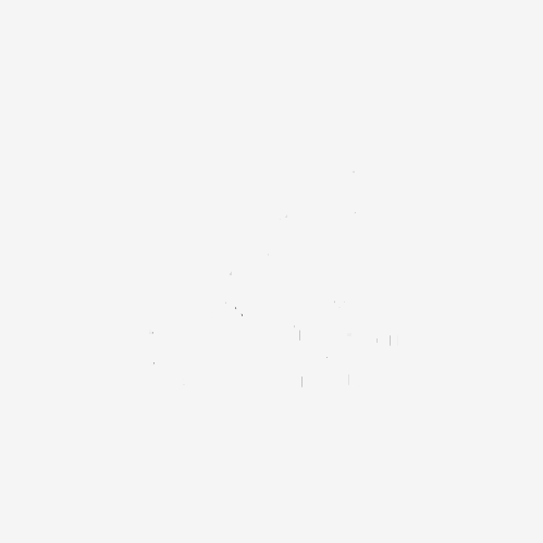 O=C(O)C(F)(F)F.c1ccc(CC2CCN(c3ccccc3)CC2)cc1